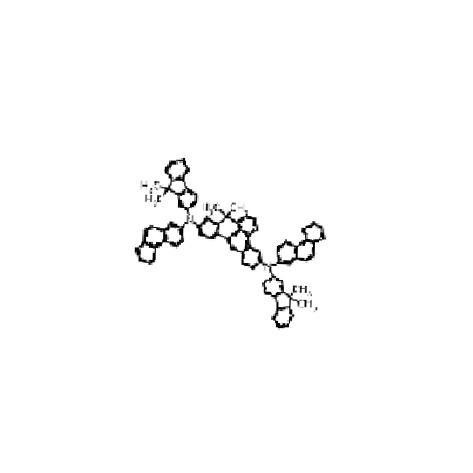 CC1(C)c2ccccc2-c2ccc(N(c3ccc4c(c3)C(C)(C)c3cccc5c3c-4cc3ccc(N(c4ccc6c(c4)C(C)(C)c4ccccc4-6)c4ccc6c(ccc7ccccc76)c4)cc35)c3ccc4c(ccc5ccccc54)c3)cc21